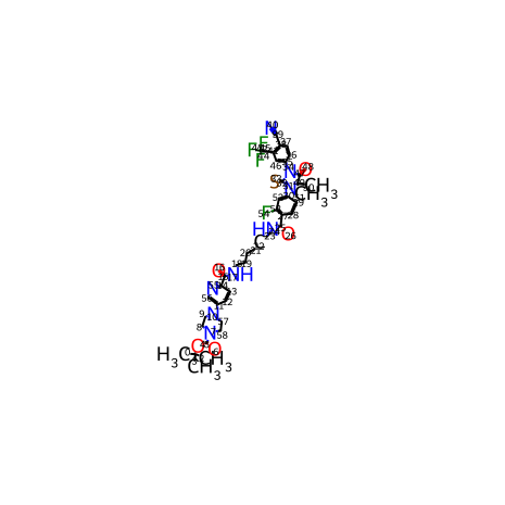 CC(C)(C)OC(=O)N1CCN(c2ccc(C(=O)NCCCCCCNC(=O)c3ccc(N4C(=S)N(c5ccc(C#N)c(C(F)(F)F)c5)C(=O)C4(C)C)cc3F)nc2)CC1